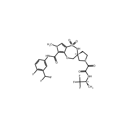 C[C@H](NC(=O)C(=O)N1CC[C@]2(COc3c(cn(C)c3C(=O)Nc3ccc(F)c(C(F)F)c3)S(=O)(=O)N2)C1)C(F)(F)F